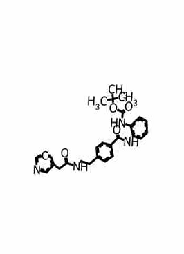 CC(C)(C)OC(=O)Nc1ccccc1NC(=O)c1ccc(CCNC(=O)Cc2cccnc2)cc1